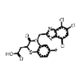 O=C(O)CC1Sc2ccc(F)cc2N(Cc2nc3c(Cl)c(Cl)cc(Cl)c3s2)C1=O